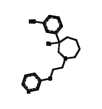 CCC1(c2cccc(O)c2)CCCCN(CCOc2cccnc2)C1